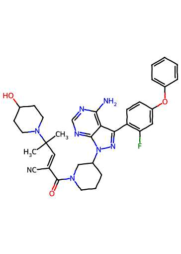 CC(C)(C=C(C#N)C(=O)N1CCCC(n2nc(-c3ccc(Oc4ccccc4)cc3F)c3c(N)ncnc32)C1)N1CCC(O)CC1